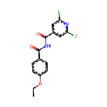 CCOc1ccc(C(=O)NC(=O)c2cc(Cl)nc(Cl)c2)cc1